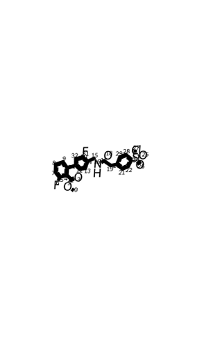 COC(=O)c1c(F)cccc1-c1ccc(CNC(=O)Cc2ccc(S(=O)(=O)Cl)cc2)c(F)c1